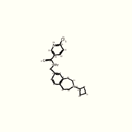 O=C(NCc1ccc2c(c1)CCN(C1CCC1)CC2)c1ccc(C(F)(F)F)nc1